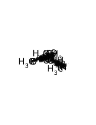 COCCCc1ccc2c(c1)CN([C@H](C(=O)N1CC(=O)C[C@H]1C(=O)NCc1ccc(-c3scnc3C)cc1)C(C)C)C2=O